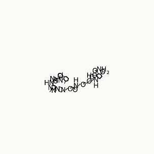 COc1ccc(NC(=O)COCCOCCNC(=O)COCCN2CCN(c3cc(Nc4ncc(C(=O)Nc5c(C)cccc5Cl)s4)nc(C)n3)CC2)c(O)c1C(N)=O